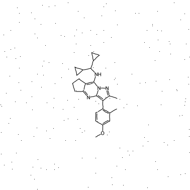 COc1ccc(-c2c(C)nn3c(NC(C4CC4)C4CC4)c4c(nc23)CCC4)c(C)c1